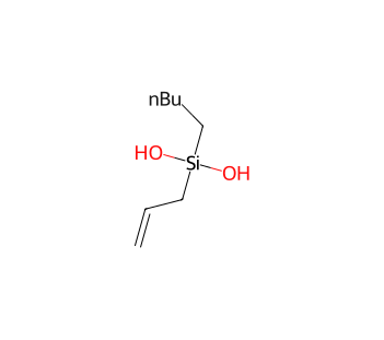 C=CC[Si](O)(O)CCCCC